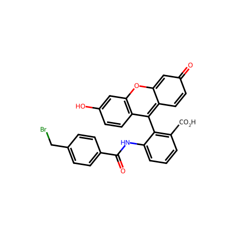 O=C(Nc1cccc(C(=O)O)c1-c1c2ccc(=O)cc-2oc2cc(O)ccc12)c1ccc(CBr)cc1